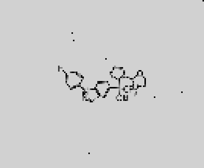 OC(c1ccc2c(cnn2-c2ccc(F)cc2)c1)(c1sccc1C1OCCO1)C(F)(F)F